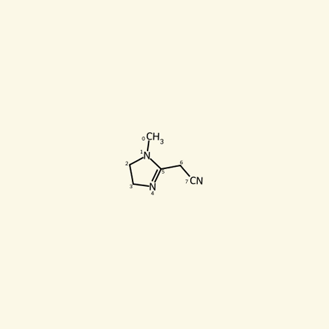 CN1CCN=C1CC#N